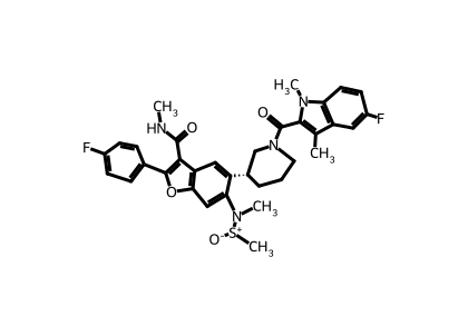 CNC(=O)c1c(-c2ccc(F)cc2)oc2cc(N(C)[S+](C)[O-])c([C@H]3CCCN(C(=O)c4c(C)c5cc(F)ccc5n4C)C3)cc12